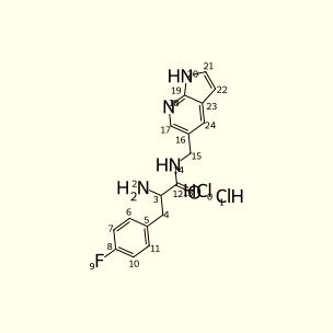 Cl.Cl.NC(Cc1ccc(F)cc1)C(=O)NCc1cnc2[nH]ccc2c1